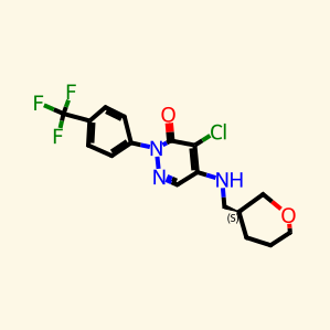 O=c1c(Cl)c(NC[C@@H]2CCCOC2)cnn1-c1ccc(C(F)(F)F)cc1